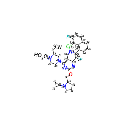 N#CCC1CN(c2nc(OCC3CCCN3C3CC3)nc3c(F)c(-c4cccc5ccc(F)c(Cl)c45)ncc23)CCN1C(=O)O